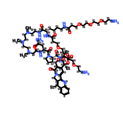 CCc1c2c(nc3ccccc13)-c1cc3c(c(=O)n1C2)COC(=O)[C@@]3(CC)OC(=O)[C@@H](NC(=O)[C@@H]1CCCN1C(=O)[C@H](CC(N)=O)NC(=O)CN(C)CCN(C)CCN(C)CCNC(=O)[C@H](CCCCNC(=O)CCOCCOCCOCCN)NC(=O)CCOCCOCCOCCN)C(C)C